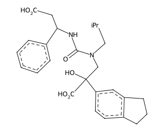 CC(C)CN(CC(O)(C(=O)O)c1ccc2c(c1)CCC2)C(=O)NC(CC(=O)O)c1ccccc1